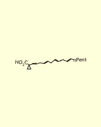 CCCCCC=CCC=CCC=CCC=CC1(C(=O)O)CC1